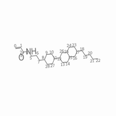 C=CC(=O)NCCCC1CCC(C2CCC3CC(CCCCC)CCC3C2)CC1